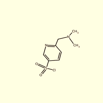 CN(C)Cc1ccc(S(=O)(=O)Cl)cn1